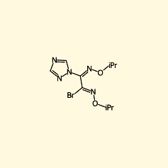 CC(C)ON=C(Br)C(=NOC(C)C)n1cncn1